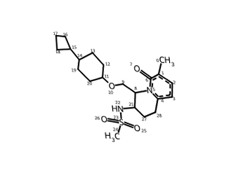 Cc1ccc2n(c1=O)C(COC1CCC(C3CCC3)CC1)C(NS(C)(=O)=O)CC2